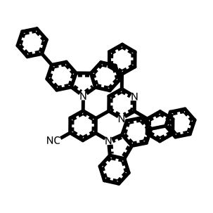 N#Cc1cc(-n2c3ccccc3c3cc(-c4ccccc4)ccc32)c(-c2cc(-c3ccccc3)nc(-c3ccccc3)n2)c(-n2c3ccccc3c3cc(-c4ccccc4)ccc32)c1